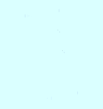 Oc1cc2cc3cc(O)c(O)nc3nc2cc1O